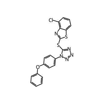 Clc1cccc2sc(Sc3nnnn3-c3ccc(Oc4ccccc4)cc3)nc12